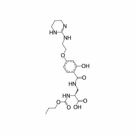 CCCOC(=O)N[C@@H](CNC(=O)c1ccc(OCCNC2=NCCCN2)cc1O)C(=O)O